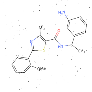 COc1ccccc1-c1nc(C(F)(F)F)c(C(=O)NC(C)c2cccc(N)c2)s1